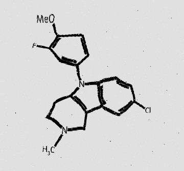 COc1ccc(-n2c3c(c4cc(Cl)ccc42)CN(C)CC3)cc1F